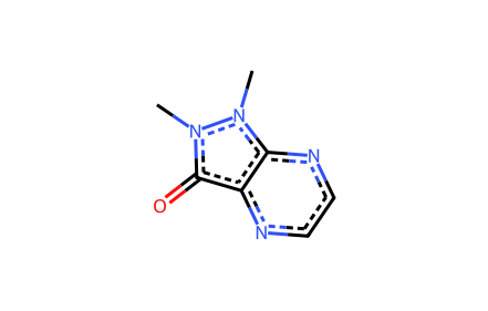 Cn1c(=O)c2nccnc2n1C